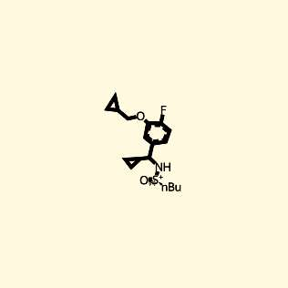 CCCC[S@+]([O-])NC(c1ccc(F)c(OCC2CC2)c1)C1CC1